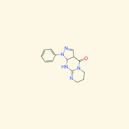 O=C1C2C=NN(c3ccccc3)C2NC2=NCCCN12